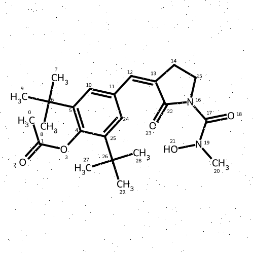 CC(=O)Oc1c(C(C)(C)C)cc(/C=C2/CCN(C(=O)N(C)O)C2=O)cc1C(C)(C)C